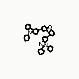 c1ccc(-c2nc3ccc(-c4cccc5oc6ccc(-c7ccc8c(c7)c7ccccc7n8-c7ccccc7)cc6c45)cc3n2-c2ccccc2)cc1